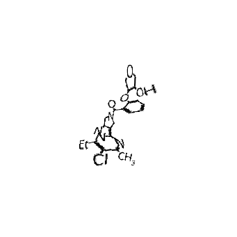 CCc1c(Cl)c(C)nc2c3c(nn12)CN(C(=O)c1ccccc1OC1COCC1O)C3